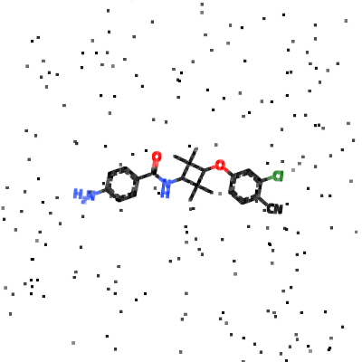 CC1(C)C(NC(=O)c2ccc(N)cc2)C(C)(C)C1Oc1ccc(C#N)c(Cl)c1